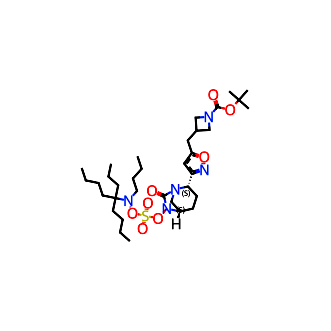 CCCCN(OS(=O)(=O)ON1C(=O)N2C[C@@H]1CC[C@H]2c1cc(CC2CN(C(=O)OC(C)(C)C)C2)on1)C(CCC)(CCCC)CCCC